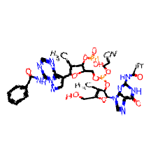 CC(C)C(=O)Nc1nc2c(ncn2C2OC(CO)C(C)C2OP(OCCC#N)OCC2OC(c3cnn4c(NC(=O)c5ccccc5)ncnc34)C(C)C2O[PH](=O)O)c(=O)[nH]1